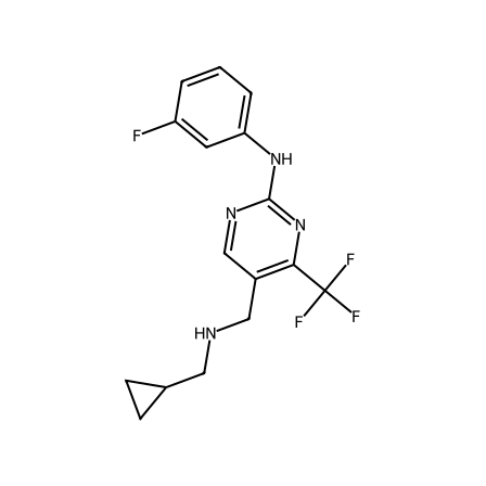 Fc1cccc(Nc2ncc(CNCC3CC3)c(C(F)(F)F)n2)c1